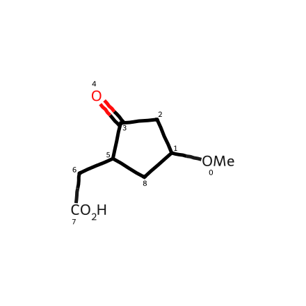 COC1CC(=O)C(CC(=O)O)C1